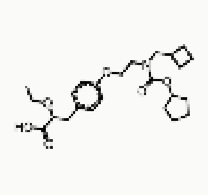 CCOC(Cc1ccc(OCCN(CC2CCC2)C(=O)OC2CCCC2)cc1)C(=O)O